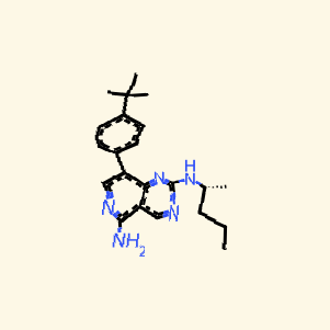 CCC[C@@H](C)Nc1ncc2c(N)ncc(-c3ccc(C(C)(C)C)cc3)c2n1